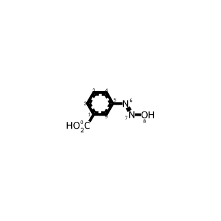 O=C(O)c1[c]ccc(N=NO)c1